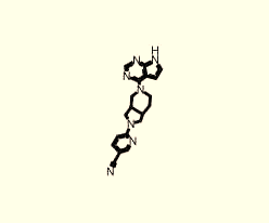 N#Cc1ccc(N2CC3CCN(c4ncnc5[nH]ccc45)CC3C2)nc1